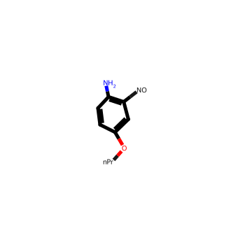 CCCOc1ccc(N)c(N=O)c1